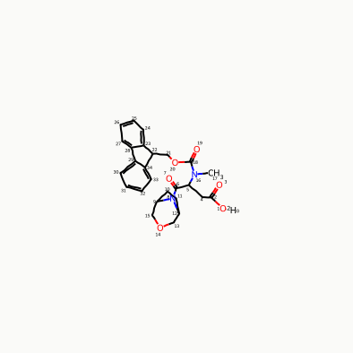 [2H]OC(=O)CC(C(=O)N1C2CCC1COC2)N(C)C(=O)OCC1c2ccccc2-c2ccccc21